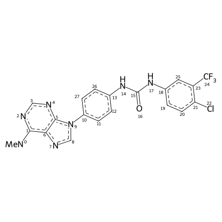 CNc1ncnc2c1ncn2-c1ccc(NC(=O)Nc2ccc(Cl)c(C(F)(F)F)c2)cc1